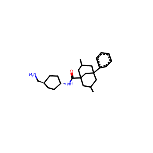 CC1CC2(C(=O)N[C@H]3CC[C@H](CN)CC3)CC(C)CC(c3ccccc3)(C1)C2